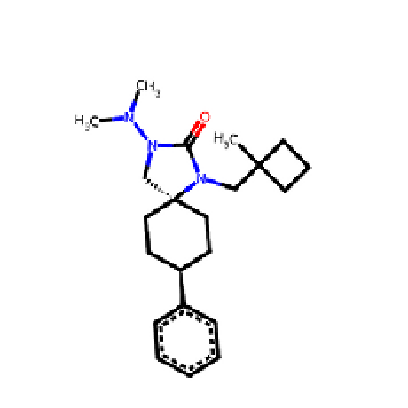 CN(C)N1C[C@]2(CC[C@H](c3ccccc3)CC2)N(CC2(C)CCC2)C1=O